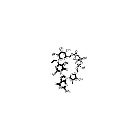 CCN(c1nc(N)[nH]c(=O)c1NC)[C@@H]1O[C@H](COP(=O)(O)OP(=O)(O)OP(=O)(O)OC[C@H]2O[C@@H](n3cnc4c(=O)[nH]c(N)nc43)[C@H](C)[C@@H]2O)[C@@H](O)[C@H](O)[C@H]1O